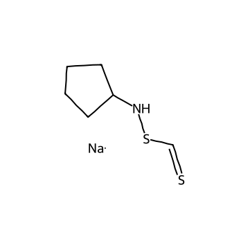 S=CSNC1CCCC1.[Na]